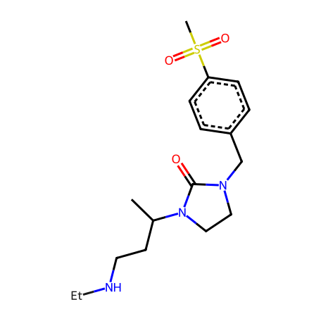 CCNCCC(C)N1CCN(Cc2ccc(S(C)(=O)=O)cc2)C1=O